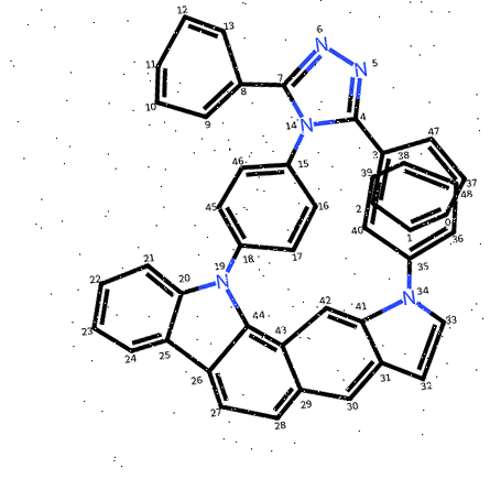 c1ccc(-c2nnc(-c3ccccc3)n2-c2ccc(-n3c4ccccc4c4ccc5cc6ccn(-c7ccccc7)c6cc5c43)cc2)cc1